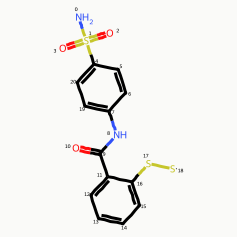 NS(=O)(=O)c1ccc(NC(=O)c2ccccc2S[S])cc1